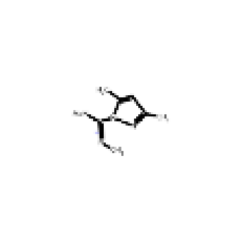 C/N=C(/NC)n1nc(C)cc1C